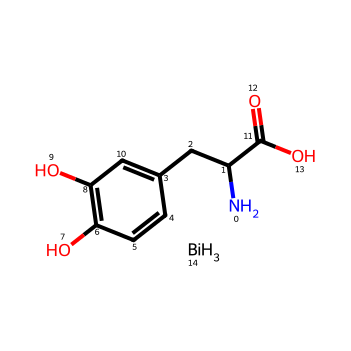 NC(Cc1ccc(O)c(O)c1)C(=O)O.[BiH3]